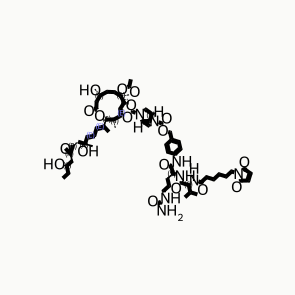 CC[C@H](O)C[C@H]1O[C@@H]1C[C@@](C)(O)/C=C/C=C(\C)[C@H]1OC(=O)C[C@H](O)CC[C@@](C)(OC(C)=O)[C@@H](OC(=O)N2C[C@H]3C[C@@H]2CN3C(=O)OCc2ccc(NC(=O)[C@H](CCCNC(N)=O)NC(=O)[C@@H](NC(=O)CCCCCN3C(=O)C=CC3=O)C(C)C)cc2)/C=C/[C@@H]1C